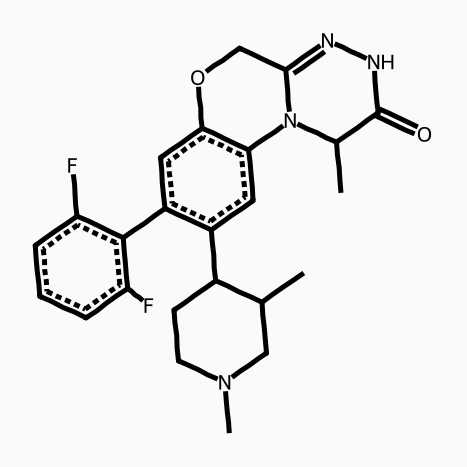 CC1CN(C)CCC1c1cc2c(cc1-c1c(F)cccc1F)OCC1=NNC(=O)C(C)N12